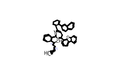 C#C/C=C\C=C(/C)C1C=CC=CC1C1=NC(c2ccccc2-c2ccc3ccccc3c2)=CCC(c2cccc3c2OC2C=CC=CC32)=N1